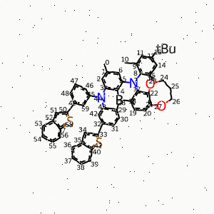 Cc1cc2c3c(c1)N(c1c(C)cc(C(C)(C)C)cc1C)c1c(ccc4c1OCCCO4)B3c1ccc(-c3cc4ccccc4s3)cc1N2c1cccc(-c2cc3ccccc3s2)c1